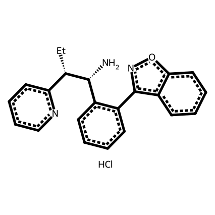 CC[C@@H](c1ccccn1)[C@H](N)c1ccccc1-c1noc2ccccc12.Cl